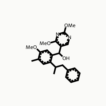 COc1ncc(C(O)c2cc(OC)c(C)cc2C(C)Cc2ccccc2)c(OC)n1